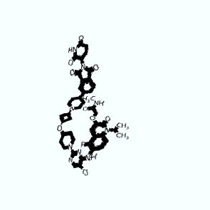 CNC(=O)COc1cc2c(F)c(Nc3nc(N4CCC(O[C@H]5C[C@H](N6CCC(c7ccc8c(c7)C(=O)N(C7CCC(=O)NC7=O)C8=O)CC6)C5)CC4)ncc3Cl)ccc2n(C(C)C)c1=O